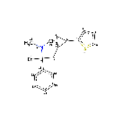 CCC(CC1CC1c1cccs1)(c1ccccc1)N(C)C